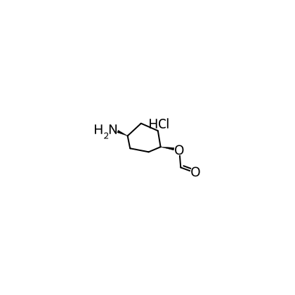 Cl.N[C@H]1CC[C@@H](OC=O)CC1